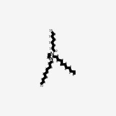 CCCCCCCCCCC1N(CCCCCCCC)C=CN1CCCCCCCCCC